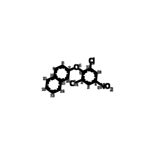 O=[N+]([O-])c1cc(Cl)c(Oc2ccc3ccccc3c2)c(Cl)c1